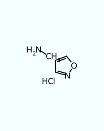 CN.Cl.c1cnoc1